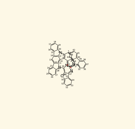 c1ccc2c(c1)ccc1c2c2c3c(cc4c5ccccc5n1c42)c1ccccc1n3-c1nc(-n2c3ccccc3c3ccccc32)nc2c1oc1ccccc12